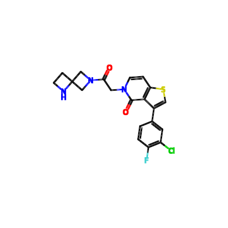 O=C(Cn1ccc2scc(-c3ccc(F)c(Cl)c3)c2c1=O)N1CC2(CCN2)C1